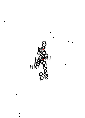 CC(C)Oc1ccccc1[C@@H]1COCCN1C1CC2(CCN(c3ccc(C(=O)NS(=O)(=O)c4ccc(NCC5CCOCC5)c([N+](=O)[O-])c4)c(N4c5cc6cc[nH]c6nc5O[C@@H]5COC[C@H]54)c3)CC2)C1